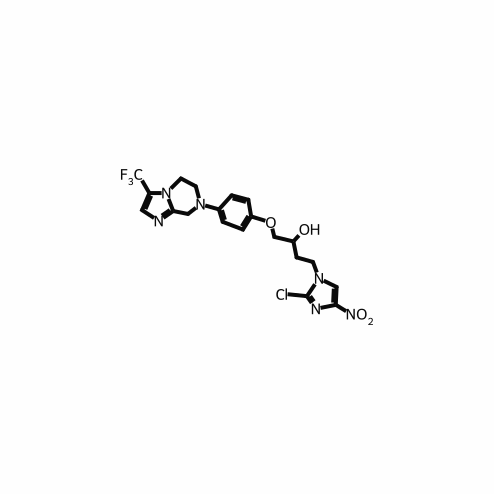 O=[N+]([O-])c1cn(CCC(O)COc2ccc(N3CCn4c(C(F)(F)F)cnc4C3)cc2)c(Cl)n1